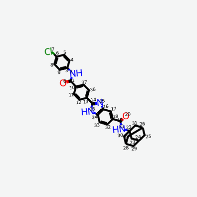 O=C(Nc1ccc(Cl)cc1)c1ccc(-c2nc3cc(C(=O)NC45CC6CC(CC(C6)C4)C5)ccc3[nH]2)cc1